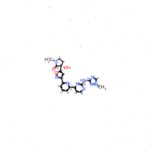 CN1CC[C@@](O)(c2cc(-c3cccc(-c4ccnc(Nc5ncn(C)n5)n4)n3)no2)C1=O